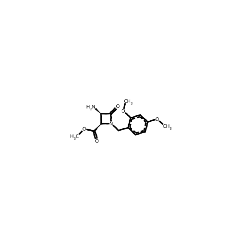 COC(=O)[C@H]1[C@@H](N)C(=O)N1Cc1ccc(OC)cc1OC